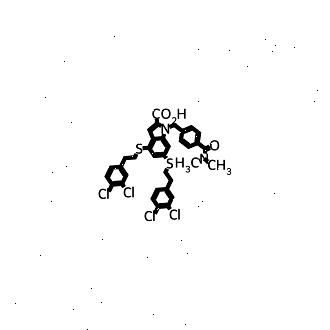 CN(C)C(=O)c1ccc(Cn2c(C(=O)O)cc3c(SCCc4ccc(Cl)c(Cl)c4)cc(SCCc4ccc(Cl)c(Cl)c4)cc32)cc1